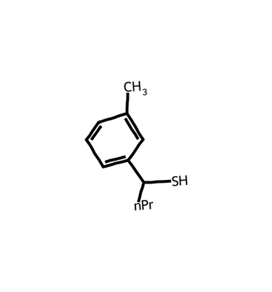 CCCC(S)c1cccc(C)c1